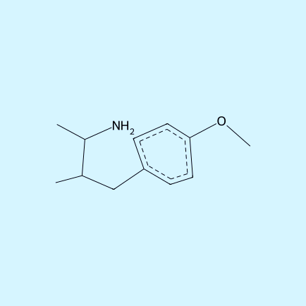 COc1ccc(CC(C)C(C)N)cc1